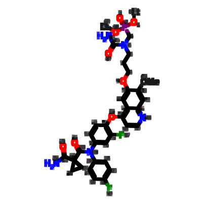 CCOP(=O)(CN(CCCOc1cc2c(Oc3ccc(N(C(=O)C4(C(N)=O)CC4)c4ccc(F)cc4)cc3F)ccnc2cc1OC)C(N)=O)OCC